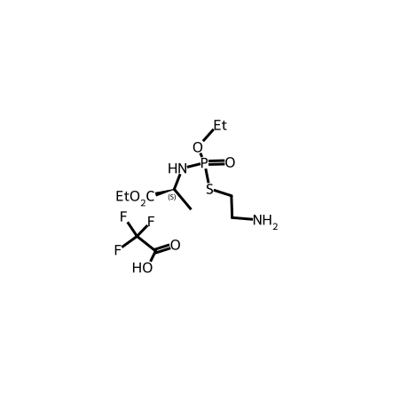 CCOC(=O)[C@H](C)NP(=O)(OCC)SCCN.O=C(O)C(F)(F)F